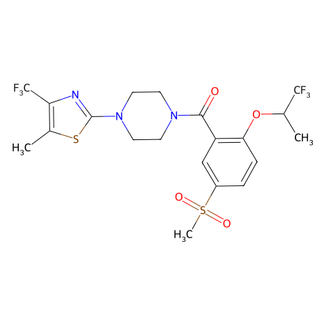 Cc1sc(N2CCN(C(=O)c3cc(S(C)(=O)=O)ccc3OC(C)C(F)(F)F)CC2)nc1C(F)(F)F